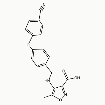 Cc1onc(C(=O)O)c1NCc1ccc(Oc2ccc(C#N)cc2)cc1